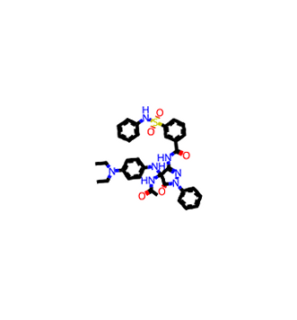 CCN(CC)c1ccc(NC2(NC(C)=O)C(=O)N(c3ccccc3)N=C2NC(=O)c2cccc(S(=O)(=O)Nc3ccccc3)c2)cc1